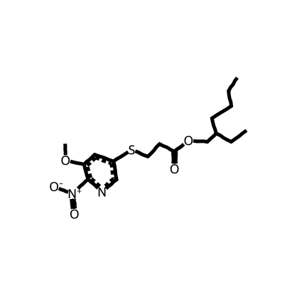 CCCCC(CC)COC(=O)CCSc1cnc([N+](=O)[O-])c(OC)c1